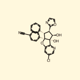 N#Cc1ccc([C@@]23Oc4cc(Cl)cnc4[C@]2(O)[C@H](O)[C@H](c2ncco2)[C@H]3c2ccccc2)cc1